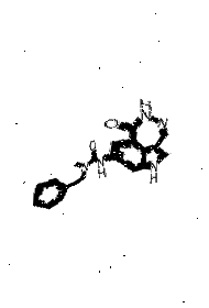 CN(Cc1ccccc1)C(=O)Nc1cc2c3c(c[nH]c3c1)C=NNC2=O